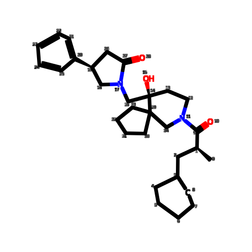 C[C@@H](CC1CCCCC1)C(=O)N1CC[C@@](O)(CN2C[C@@H](c3ccccc3)CC2=O)C2(CCCC2)C1